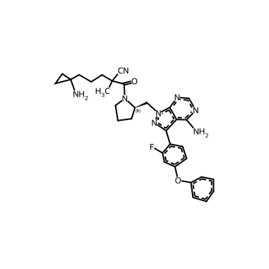 CC(C#N)(CCCC1(N)CC1)C(=O)N1CCC[C@@H]1Cn1nc(-c2ccc(Oc3ccccc3)cc2F)c2c(N)ncnc21